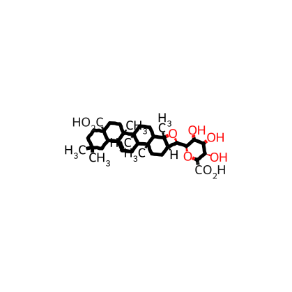 CC1(C)CC[C@]2(C(=O)O)CC[C@]3(C)C(=CCC4[C@@]5(C)CC[C@@H]6[C@H]([C@@H]7OC(C(=O)O)[C@@H](O)C(O)C7O)O[C@@]6(C)C5CC[C@]43C)C2C1